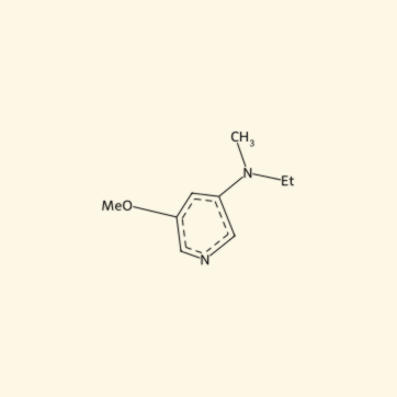 CCN(C)c1cncc(OC)c1